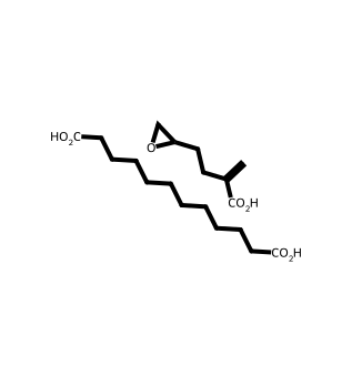 C=C(CCC1CO1)C(=O)O.O=C(O)CCCCCCCCCCC(=O)O